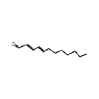 CCCCCCCC=C/C=C/C=O